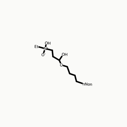 CCCCCCCCCCCCCOC(O)CC[N+]([O-])(O)CC